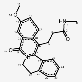 CNC(=O)CCc1c2n(c(=O)c3cc(OC)ccc13)CCc1ccccc1-2